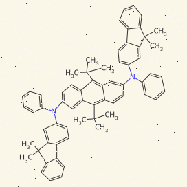 CC(C)(C)c1c2ccc(N(c3ccccc3)c3ccc4c(c3)C(C)(C)c3ccccc3-4)cc2c(C(C)(C)C)c2ccc(N(c3ccccc3)c3ccc4c(c3)C(C)(C)c3ccccc3-4)cc12